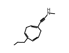 CCCC1=C/C/C=C(/C#CNC)C/C=C\1